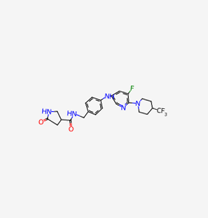 O=C1CC(C(=O)NCc2ccc(Nc3cnc(N4CCC(C(F)(F)F)CC4)c(F)c3)cc2)CN1